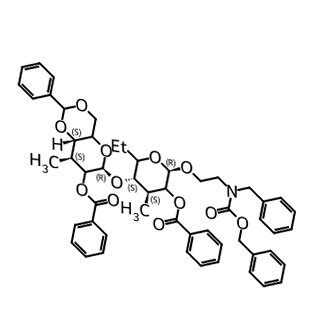 CCC1O[C@@H](OCCN(Cc2ccccc2)C(=O)OCc2ccccc2)C(OC(=O)c2ccccc2)[C@@H](C)[C@@H]1O[C@@H]1OC2COC(c3ccccc3)O[C@H]2[C@H](C)C1OC(=O)c1ccccc1